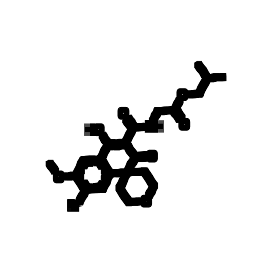 COc1cc2c(cc1Br)C1(CCOCC1)C(=O)C(C(=O)NCC(=O)OCC(C)C)=C2O